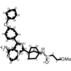 COCC[S+]([O-])NC12CCC(c3nc(-c4ccc(Oc5ccccc5)cc4)c4c(N)nccn34)(CC1)C2